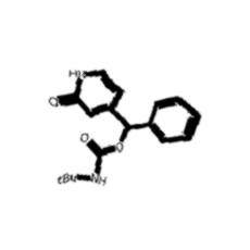 CC(C)(C)NC(=O)OC(c1ccccc1)c1cc[nH]c(=O)c1